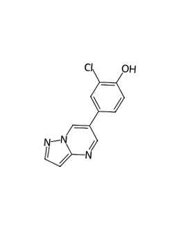 Oc1ccc(-c2cnc3ccnn3c2)cc1Cl